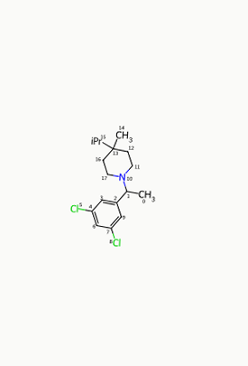 CC(c1cc(Cl)cc(Cl)c1)N1CCC(C)(C(C)C)CC1